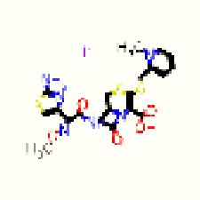 CON=C(C(=O)NC1C(=O)N2C(C(=O)O)=C(SCc3cccc[n+]3C)SCC12)c1csc(N)n1.[I-]